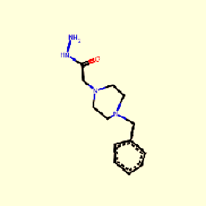 NNC(=O)CN1CCN(Cc2ccccc2)CC1